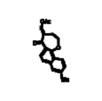 CC(=O)O/N=C1\CCOc2c(ccc3cc(C(C)(C)C)ccc23)C1=O